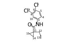 O=C(Nc1ccc(Cl)c(Cl)c1)C1(CI)CC1